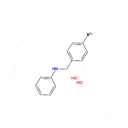 [B+2]c1ccc(CNc2ccccc2)cc1.[OH-].[OH-]